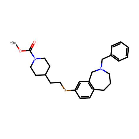 CC(C)(C)OC(=O)N1CCC(CCSc2ccc3c(c2)CN(Cc2ccccc2)CCC3)CC1